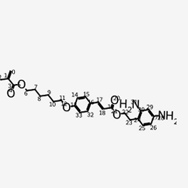 C=C(C)C(=O)OCCCCCCOc1ccc(/C=C/C(=O)OCCc2ccc(N)cc2N)cc1